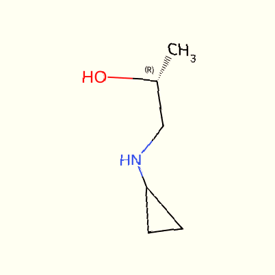 C[C@@H](O)CNC1CC1